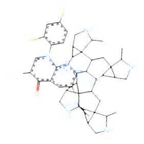 CC1NCC2C(N)C12CC(CC(c1nc2c(cc1F)c(=O)c(C(=O)O)cn2-c1ccc(F)cc1F)C(CC12C(C)NCC1C2N)C12C(C)NCC1C2N)C12C(C)NCC1C2N